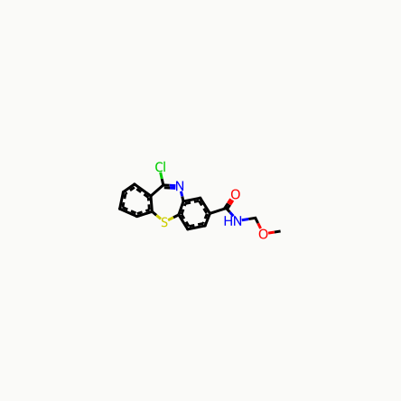 COCNC(=O)c1ccc2c(c1)N=C(Cl)c1ccccc1S2